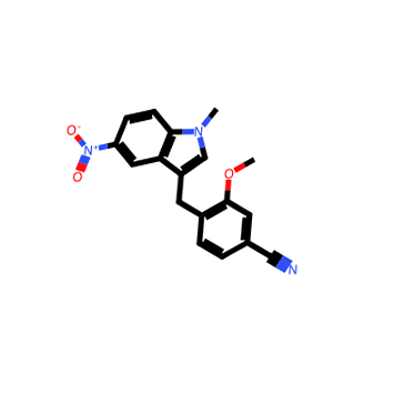 COc1cc(C#N)ccc1Cc1cn(C)c2ccc([N+](=O)[O-])cc12